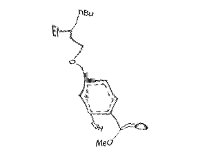 CCCCC(CC)COc1ccc(C(=O)OC)c(O)c1